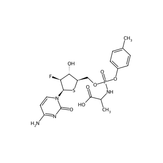 Cc1ccc(OP(=O)(NC(C)C(=O)O)OC[C@H]2S[C@@H](n3ccc(N)nc3=O)[C@@H](F)[C@@H]2O)cc1